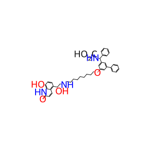 O=C(O)NC(c1ccccc1)c1cc(OCCCCCCCCCNCC(O)c2ccc(O)c3[nH]c(=O)ccc23)cc(-c2ccccc2)c1